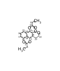 CCC(=O)Oc1c2c(c(OC(=O)CC)c3ccccc13)OOCC2